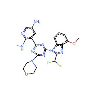 CNc1ncc(N)cc1-c1nc(N2CCOCC2)nc(-n2c(C(F)F)nc3c(OC)cccc32)n1